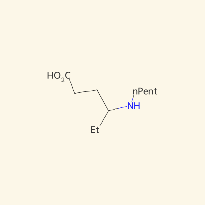 CCCCCNC(CC)CCC(=O)O